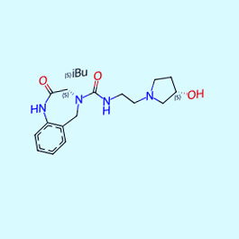 CC[C@H](C)[C@H]1C(=O)Nc2ccccc2CN1C(=O)NCCN1CC[C@H](O)C1